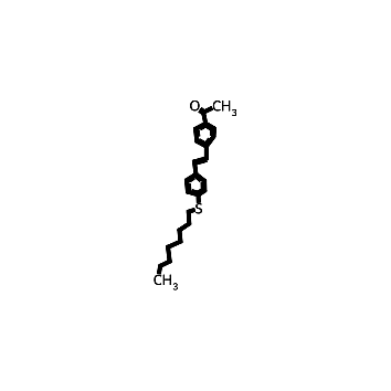 CCCCCCCCSc1ccc(C=Cc2ccc(C(C)=O)cc2)cc1